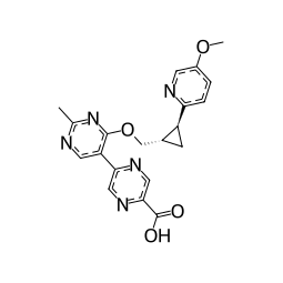 COc1ccc([C@H]2C[C@@H]2COc2nc(C)ncc2-c2cnc(C(=O)O)cn2)nc1